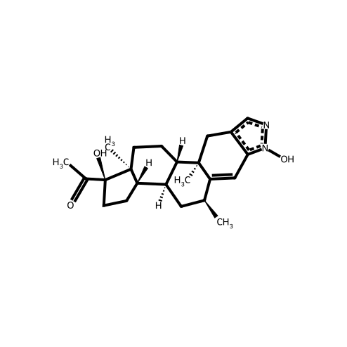 CC(=O)[C@@]1(O)CC[C@H]2[C@@H]3C[C@H](C)C4=Cc5c(cnn5O)C[C@]4(C)[C@H]3CC[C@@]21C